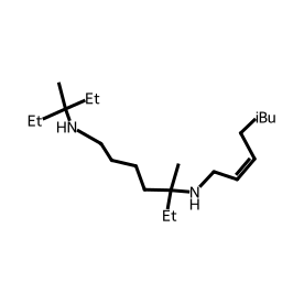 CCC(C)C/C=C\CNC(C)(CC)CCCCNC(C)(CC)CC